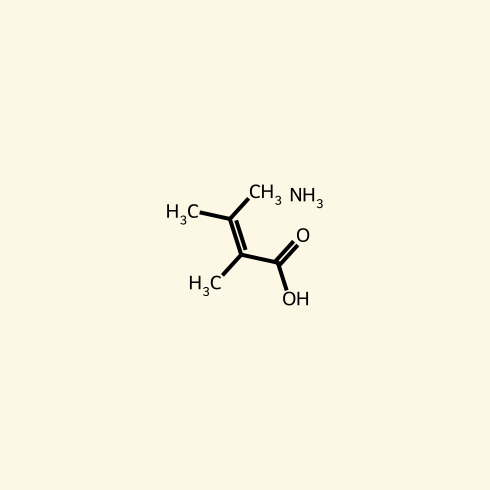 CC(C)=C(C)C(=O)O.N